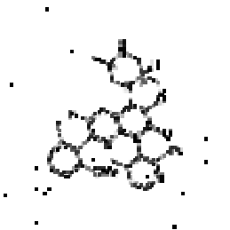 COc1cccc(F)c1-c1nc2c(cc1F)c1c(c(=O)n2-c2c(C)ccnc2C(C)C)OC[C@H]2CN[C@H](C)CN12